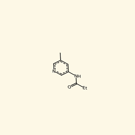 CCC(=O)Nc1cncc(C)c1